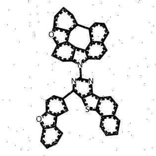 c1ccc2c(c1)ccc1c3nc(-n4c5ccc6cccc7c6c5c5c6c(ccc54)oc4cccc-7c46)nc(-c4ccc5oc6ccccc6c5c4)c3sc21